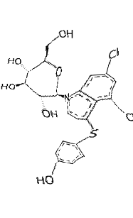 OC[C@H]1O[C@@H](n2cc(Sc3ccc(O)cc3)c3c(Cl)cc(Cl)cc32)[C@H](O)[C@@H](O)[C@@H]1O